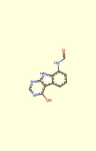 O=CNc1cccc2c1[nH]c1ncnc(O)c12